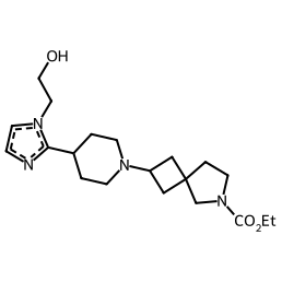 CCOC(=O)N1CCC2(CC(N3CCC(c4nccn4CCO)CC3)C2)C1